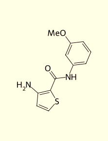 COc1cccc(NC(=O)c2sccc2N)c1